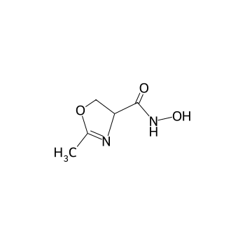 CC1=NC(C(=O)NO)CO1